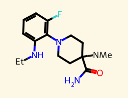 CCNc1cccc(F)c1N1CCC(NC)(C(N)=O)CC1